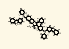 CC(C)(C)C1(C(C)(C)C)c2cc3cc(N(c4ccccc4)c4ccc5oc6ccccc6c5c4)ccc3cc2-c2c1c1ccc(N(c3ccccc3)c3ccc4oc5ccccc5c4c3)cc1c1ccccc21